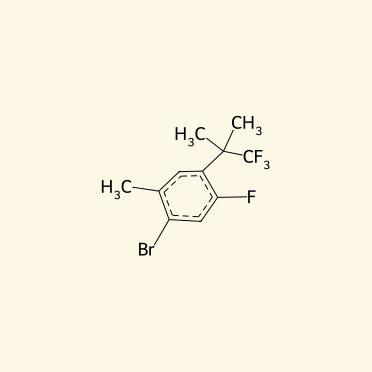 Cc1cc(C(C)(C)C(F)(F)F)c(F)cc1Br